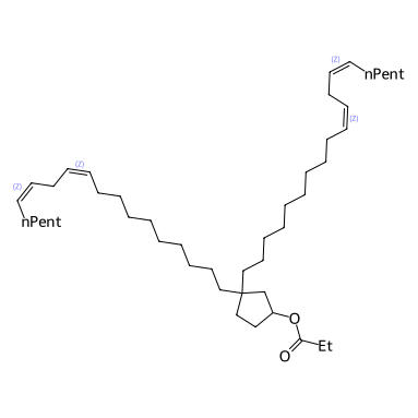 CCCCC/C=C\C/C=C\CCCCCCCCCC1(CCCCCCCCC/C=C\C/C=C\CCCCC)CCC(OC(=O)CC)C1